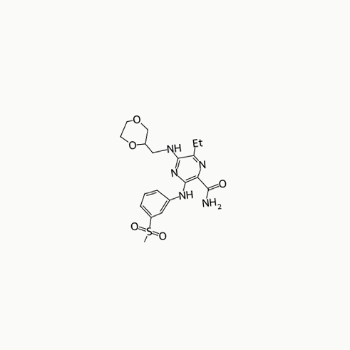 CCc1nc(C(N)=O)c(Nc2cccc(S(C)(=O)=O)c2)nc1NCC1COCCO1